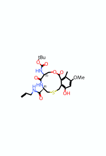 C=CCNC(=O)[C@@H]1CSCc2c(O)cc(OC)c(C)c2C(=O)OC[C@H](NC(=O)OC(C)(C)C)C(=O)N1